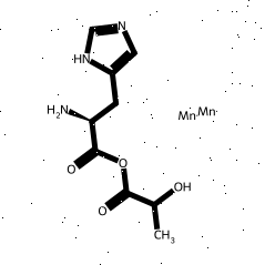 CC(O)C(=O)OC(=O)[C@@H](N)Cc1cnc[nH]1.[Mn].[Mn]